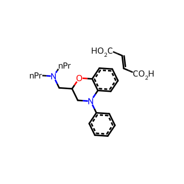 CCCN(CCC)CC1CN(c2ccccc2)c2ccccc2O1.O=C(O)C=CC(=O)O